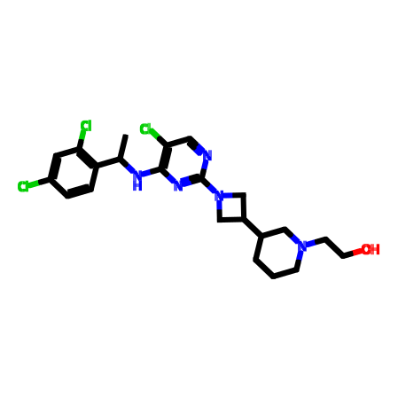 CC(Nc1nc(N2CC(C3CCCN(CCO)C3)C2)ncc1Cl)c1ccc(Cl)cc1Cl